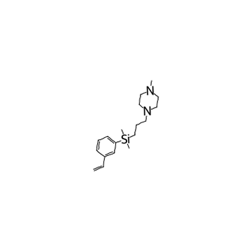 C=Cc1cccc([Si](C)(C)CCCN2CCN(C)CC2)c1